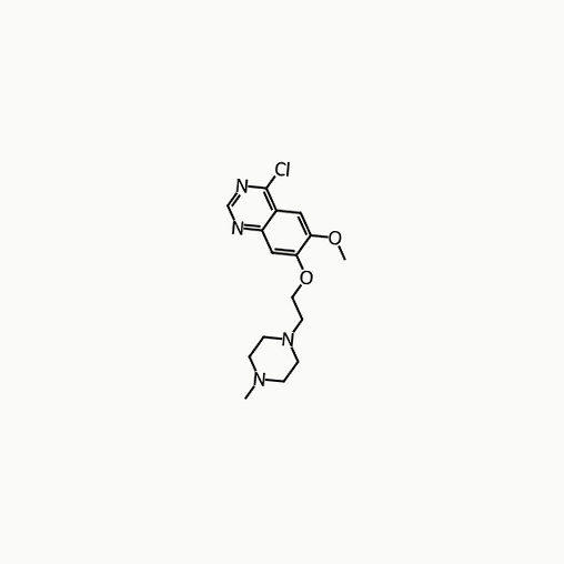 COc1cc2c(Cl)ncnc2cc1OCCN1CCN(C)CC1